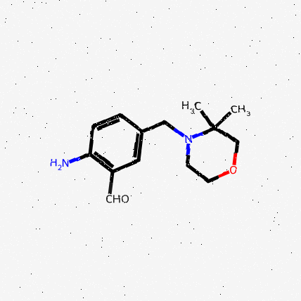 CC1(C)COCCN1Cc1ccc(N)c(C=O)c1